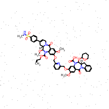 C=CCOC(=O)N1c2cc(OCc3cccc(COc4cc5c(cc4OC)C(=O)N4c6ccccc6C[C@H]4C(OC4CCCCO4)N5C(=O)O)n3)c(OC)cc2C(=O)N2CC=C(c3ccc(S(=O)(=O)NC)cc3)C[C@H]2C1OC